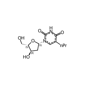 CCCc1cn([C@@H]2C[C@@H](O)[C@H](CO)O2)c(=O)[nH]c1=O